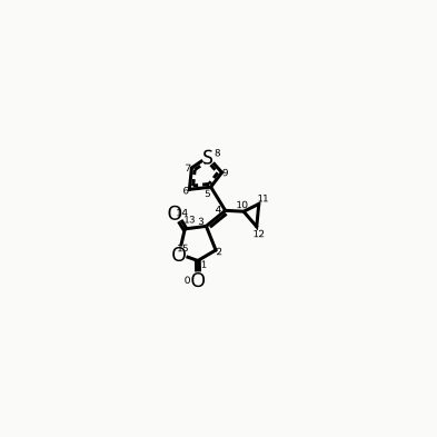 O=C1CC(=C(c2ccsc2)C2CC2)C(=O)O1